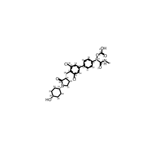 CNC(=O)N(OC(=O)O)c1ccc(-c2cc(Cl)c(C[C@@H]3CCN([C@H]4CC[C@H](O)CC4)C3=O)c(Cl)c2)cc1